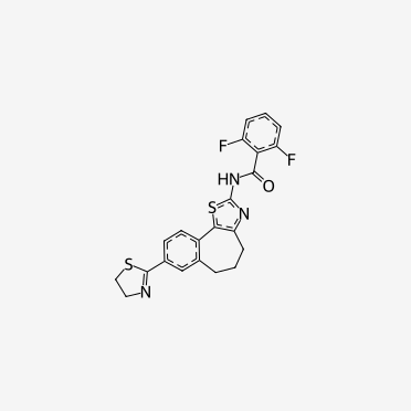 O=C(Nc1nc2c(s1)-c1ccc(C3=NCCS3)cc1CCC2)c1c(F)cccc1F